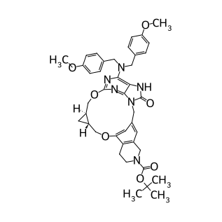 COc1ccc(CN(Cc2ccc(OC)cc2)c2nc3nc4c2[nH]c(=O)n4Cc2cc4c(c(c2)OC[C@@H]2C[C@H]2CO3)CCN(C(=O)OC(C)(C)C)C4)cc1